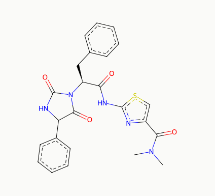 CN(C)C(=O)c1csc(NC(=O)[C@H](Cc2ccccc2)N2C(=O)NC(c3ccccc3)C2=O)n1